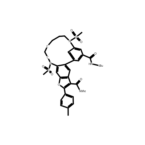 CNC(=O)c1c(-c2ccc(C)cc2)oc2cc3c(cc12)-c1cc(C(=O)NC(C)(C)C)cc(c1)N(S(C)(=O)=O)CCCCCCN3S(C)(=O)=O